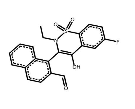 CCN1C(c2c(C=O)ccc3ccccc23)=C(O)c2cc(F)ccc2S1(=O)=O